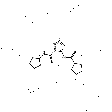 O=C(NC1CCCC1)c1n[nH]cc1NC(=O)C1CCCC1